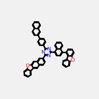 c1ccc2cc(-c3ccc(-c4nc(-c5ccc6cc7c(cc6c5)oc5ccccc57)nc(-c5ccc(-c6cccc7oc8ccccc8c67)c6ccccc56)n4)cc3)ccc2c1